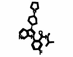 CC(C)N(C)C(=O)c1cc(F)ccc1-n1cc([C@H]2CC[C@H](N3CCCC3)CC2)c2ccncc21